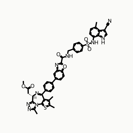 COC(=O)C[C@@H]1N=C(c2ccc(-c3ccc4oc(C(=O)NCc5ccc(S(=O)(=O)Nc6ccc(C)c7c(C#N)c[nH]c67)cc5)nc4c3)cc2)c2c(sc(C)c2C)-n2c(C)nnc21